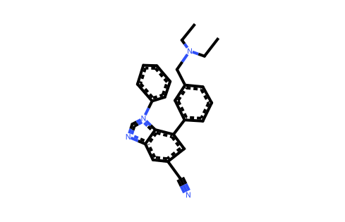 CCN(CC)Cc1cccc(-c2cc(C#N)cc3ncn(-c4ccccc4)c23)c1